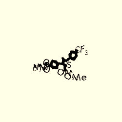 CON(C)C(=O)c1sc(-c2ccc(C(F)(F)F)cc2)c(C)c1-c1ccc(S(=O)(=O)N=CN(C)C)cc1